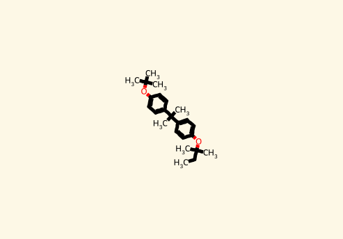 CCC(C)(C)Oc1ccc(C(C)(C)c2ccc(OC(C)(C)C)cc2)cc1